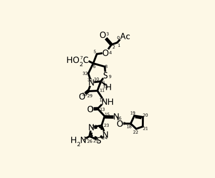 CC(=O)CC(=O)OCC1(C(=O)O)CS[C@@H]2C(NC(=O)C(=NOC3C=CCC3)c3nsc(N)n3)C(=O)N2C1